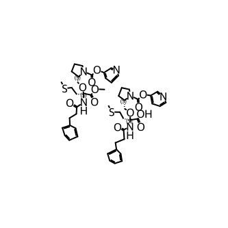 COC(=O)[C@@](CCSC)(NC(=O)CCc1ccccc1)OC[C@@H]1CCCN1C(=O)Oc1cccnc1.CSCC[C@](NC(=O)CCc1ccccc1)(OC[C@@H]1CCCN1C(=O)Oc1cccnc1)C(=O)O